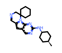 C[C@H]1CC[C@@H](Nc2ncc3cc4n(c3n2)C2(CCCCC2)CN=C4)CC1